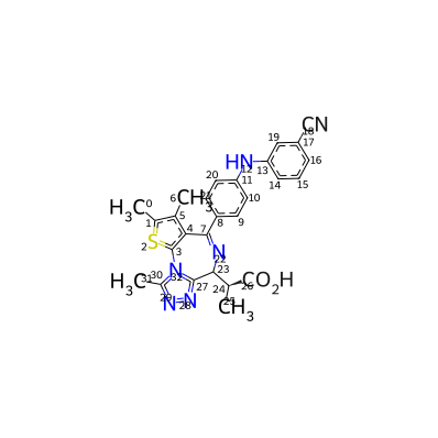 Cc1sc2c(c1C)C(c1ccc(Nc3cccc(C#N)c3)cc1)=NC([C@H](C)C(=O)O)c1nnc(C)n1-2